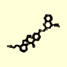 Cc1cc2c(CCO)cccc2n1C(=O)c1ccc(OC[C@@H]2CN(C)c3ccccc3O2)cc1